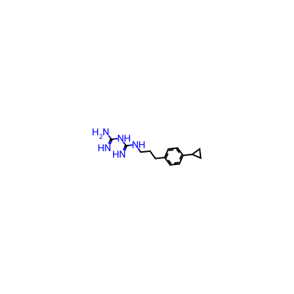 N=C(N)NC(=N)NCCCc1ccc(C2CC2)cc1